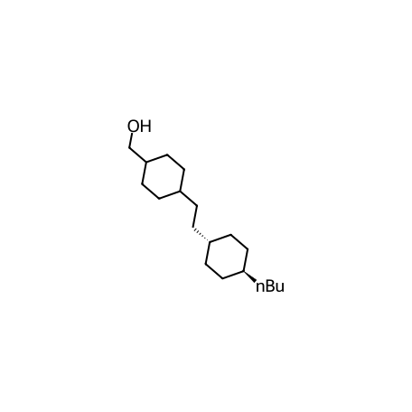 CCCC[C@H]1CC[C@H](CCC2CCC(CO)CC2)CC1